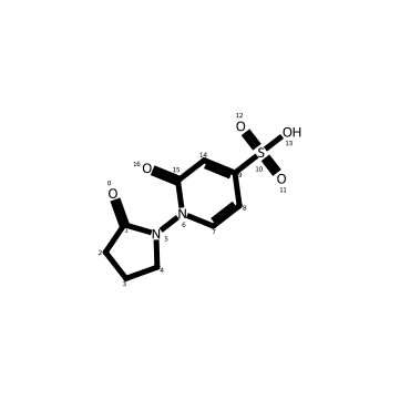 O=C1CCCN1n1ccc(S(=O)(=O)O)cc1=O